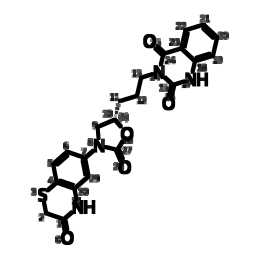 O=C1CSc2ccc(N3C[C@H](CCCn4c(=O)[nH]c5ccccc5c4=O)OC3=O)cc2N1